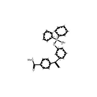 C=C(c1ccc(C(=O)OC)cc1)c1cccc(O[Si](c2ccccc2)(c2ccccc2)C(C)(C)C)c1